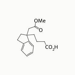 COC(=O)CC1(CCCC(=O)O)CCc2ccccc21